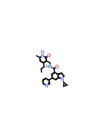 CCCc1cc(C)[nH]c(=O)c1CNC(=O)c1cc(-c2cccnc2)cc2c1ccn2C1CC1